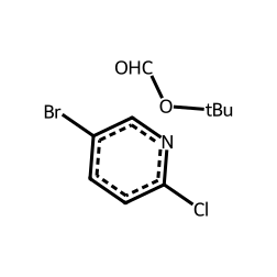 CC(C)(C)OC=O.Clc1ccc(Br)cn1